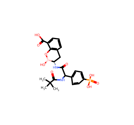 CC(C)(C)C(=O)NC(C(=O)N[C@H]1Cc2cccc(C(=O)O)c2OB1O)c1ccc(P(=O)(O)O)cc1